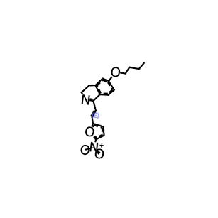 CCCCOc1ccc2c(c1)CCN=C2/C=C/c1ccc([N+](=O)[O-])o1